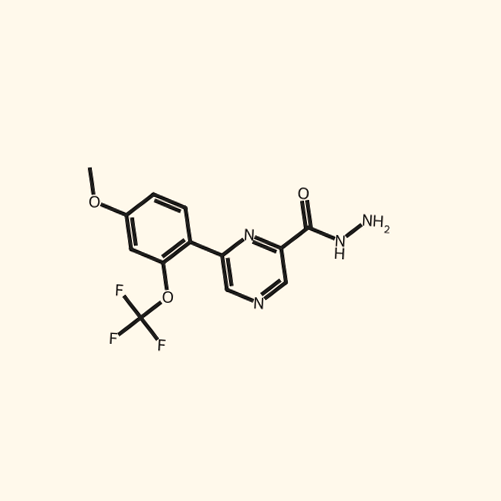 COc1ccc(-c2cncc(C(=O)NN)n2)c(OC(F)(F)F)c1